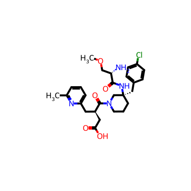 COC[C@H](N)C(=O)N[C@@]1(Cc2ccc(Cl)cc2)CCCN(C(=O)[C@@H](CC(=O)O)Cc2cccc(C)n2)C1